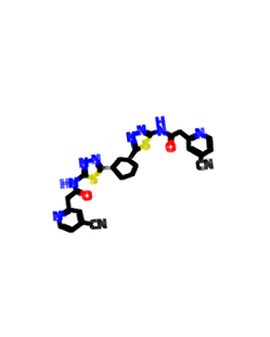 N#Cc1ccnc(CC(=O)Nc2nnc([C@H]3CCC[C@H](c4nnc(NC(=O)Cc5cc(C#N)ccn5)s4)C3)s2)c1